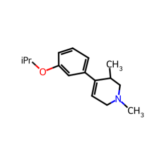 CC(C)Oc1cccc(C2=CCN(C)CC2C)c1